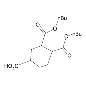 CCCCOC(=O)C1CCC(C(=O)O)CC1C(=O)OCCCC